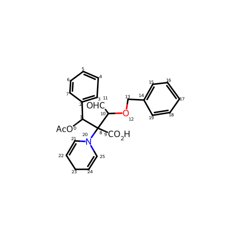 CC(=O)OC(c1ccccc1)C(C(=O)O)(C(C=O)OCc1ccccc1)N1C=CCC=C1